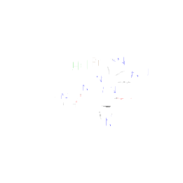 CN(C)CC(=O)N1CCN(c2c(Br)cnc3[nH]cc(NC(=O)c4cccnc4)c23)CC1.Cl